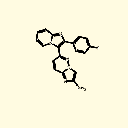 Nc1cn2nc(-c3c(-c4ccc(F)cc4)nc4ccccn34)ccc2n1